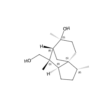 C[C@@H]1CC[C@H]2[C@](C)(CO)[C@H]3C[C@@]12CC[C@]3(C)O